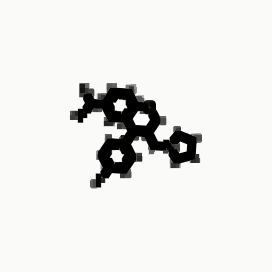 Fc1ccc(C2=C(CN3CCCC3)COc3ccc(C(F)F)cc32)cc1